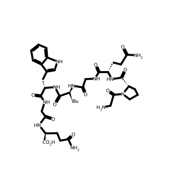 CC[C@H](C)[C@H](NC(=O)CNC(=O)[C@H](CCC(N)=O)NC(=O)[C@@H]1CCCN1C(=O)CN)C(=O)N[C@@H](Cc1c[nH]c2ccccc12)C(=O)NCC(=O)N[C@@H](CCC(N)=O)C(=O)O